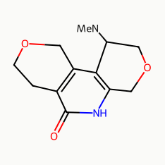 CNC1COCc2[nH]c(=O)c3c(c21)COCC3